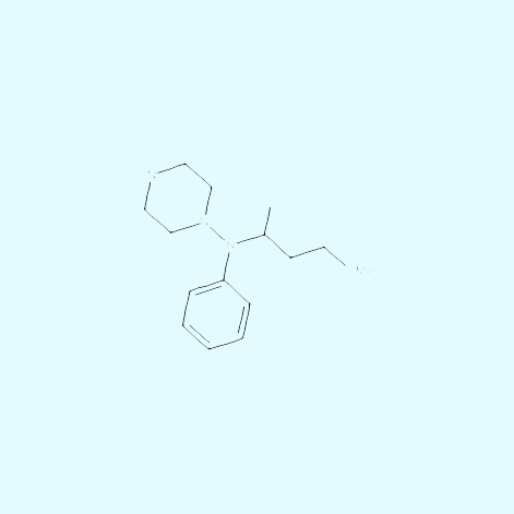 CSCCC(C(=O)O)N(c1ccccc1)N1CCNCC1